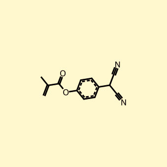 C=C(C)C(=O)Oc1ccc(C(C#N)C#N)cc1